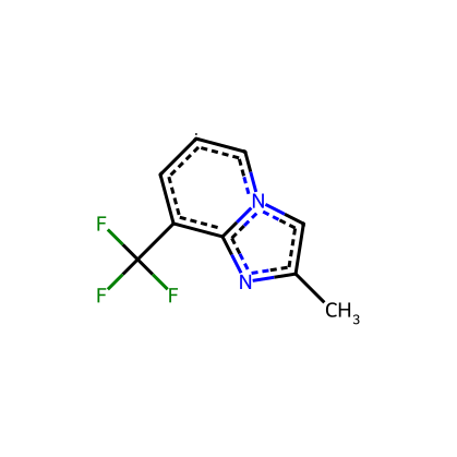 Cc1cn2c[c]cc(C(F)(F)F)c2n1